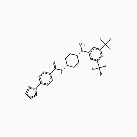 CN(c1cc(C(F)(F)F)nc(C(F)(F)F)c1)[C@H]1CC[C@@H](NC(=O)c2ccc(-n3cccn3)cc2)CC1